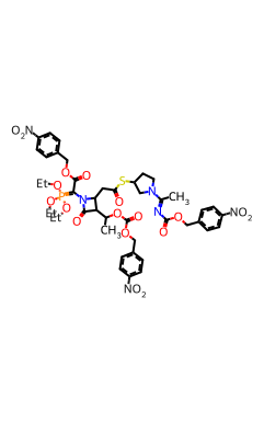 CCOP(OCC)(OCC)=C(C(=O)OCc1ccc([N+](=O)[O-])cc1)N1C(=O)C(C(C)OC(=O)OCc2ccc([N+](=O)[O-])cc2)C1CC(=O)SC1CCN(C(C)=NC(=O)OCc2ccc([N+](=O)[O-])cc2)C1